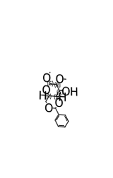 CO[C@H]1O[C@@H]2COC(c3ccccc3)O[C@H]2[C@H](O)[C@H]1OC